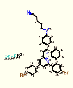 CN(CCCCC#N)c1ccc(/C=C/c2cc(-c3ccc(Br)cc3)cc(-c3ccc(Br)cc3)[n+]2-c2ccccc2)cc1.[B+3].[F-].[F-].[F-].[F-]